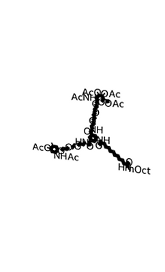 CCCCCCCCNC(=O)CCCCCCCCCCC(=O)Nc1cc(C(=O)NCCOCCOCCOC2C[C@H](C)[C@H](OC(C)=O)C[C@H]2NC(C)=O)cc(C(=O)NCCOCCOCCOC2O[C@H](COC(C)=O)[C@H](OC(C)=O)[C@H](OC(C)=O)[C@H]2NC(C)=O)c1